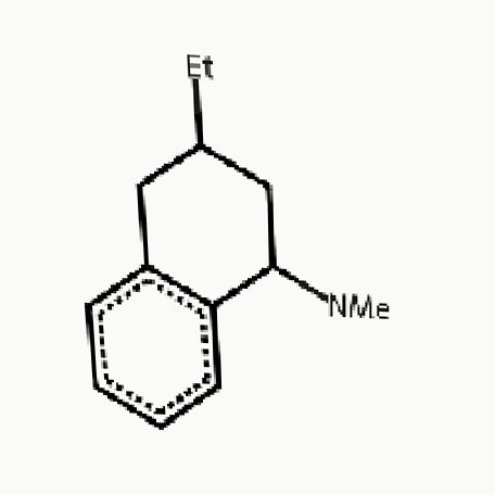 CCC1Cc2ccccc2C(NC)C1